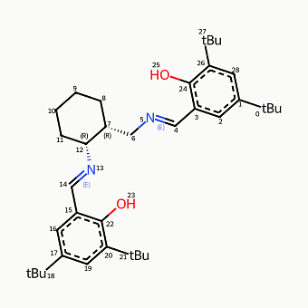 CC(C)(C)c1cc(/C=N/C[C@H]2CCCC[C@H]2/N=C/c2cc(C(C)(C)C)cc(C(C)(C)C)c2O)c(O)c(C(C)(C)C)c1